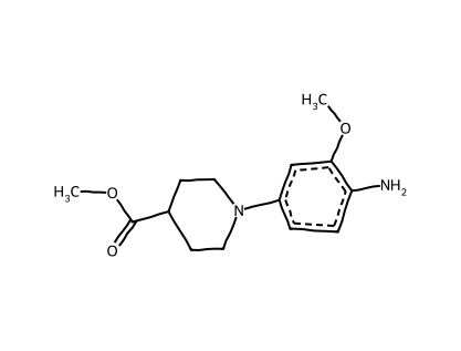 COC(=O)C1CCN(c2ccc(N)c(OC)c2)CC1